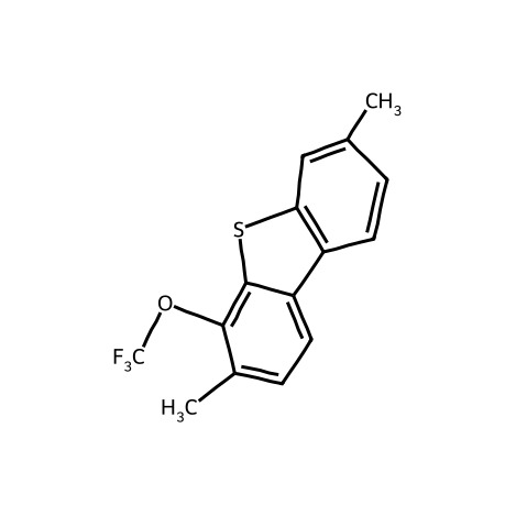 Cc1ccc2c(c1)sc1c(OC(F)(F)F)c(C)ccc12